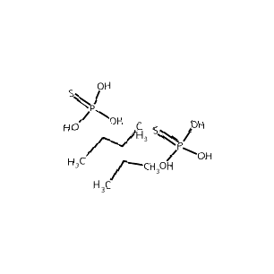 CCC.CCCC.OP(O)(O)=S.OP(O)(O)=S